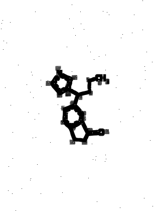 CCCC(c1ccc2c(c1)C(=O)CC2)n1ccnc1